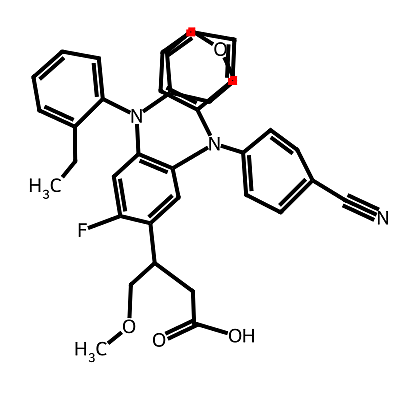 CCc1ccccc1N(c1cc(F)c(C(COC)CC(=O)O)cc1N(c1ccccc1)c1ccc(C#N)cc1)C1CCOCC1